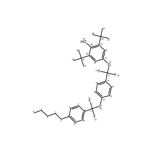 CCCCCc1ccc(C(F)(F)Oc2ccc(C(F)(F)Oc3cc(C(C)(C)C)c(O)c(C(C)(C)C)c3)cc2)cc1